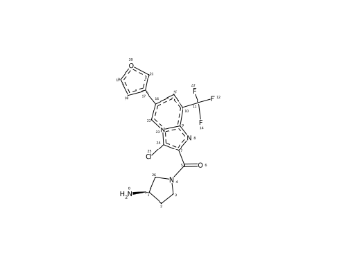 N[C@@H]1CCN(C(=O)c2nc3c(C(F)(F)F)cc(-c4ccoc4)cn3c2Cl)C1